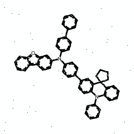 c1ccc(-c2ccc(N(c3ccc(-c4ccc5c(c4)C4(CCCC4)c4ccccc4N5c4ccccc4)cc3)c3ccc4c(c3)oc3ccccc34)cc2)cc1